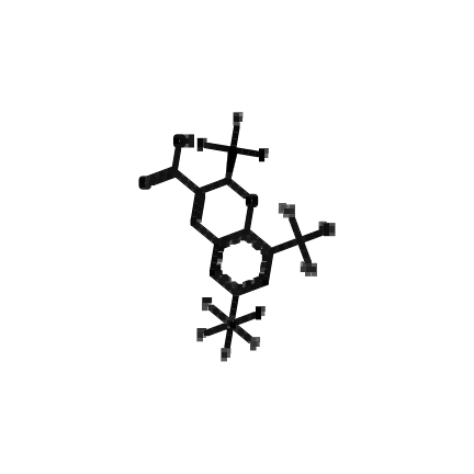 [2H]C([2H])([2H])c1cc(S(F)(F)(F)(F)F)cc2c1O[C@H](C(F)(F)F)C(C(=O)O)=C2